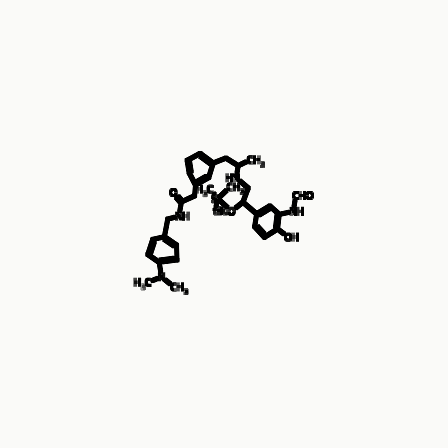 CC(Cc1cccc(CC(=O)NCc2ccc(N(C)C)cc2)c1)NCC(O[Si](C)(C)C(C)(C)C)c1ccc(O)c(NC=O)c1